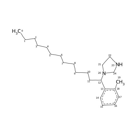 CCCCCCCCCCCCC(c1ccccc1C)N1CCNC1